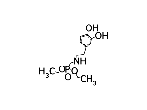 CCOP(=O)(CNCCc1ccc(O)c(O)c1)OCC